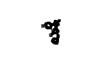 Cn1cc(C2CCNCC2)c(-c2cn(Cc3ccccc3)c(Cl)n2)n1